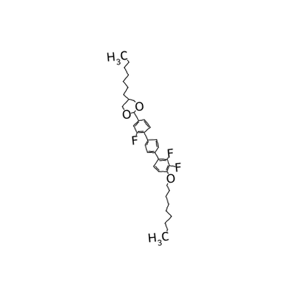 CCCCCCCCCOc1ccc(-c2ccc(-c3ccc(C4OCC(CCCCCCC)CO4)cc3F)cc2)c(F)c1F